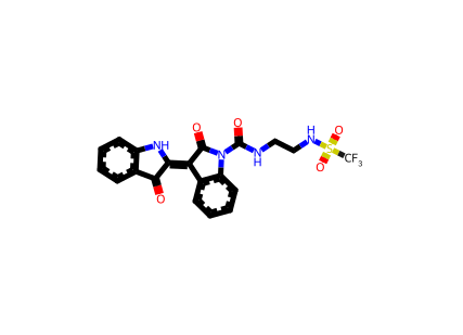 O=C1/C(=C2/C(=O)N(C(=O)NCCNS(=O)(=O)C(F)(F)F)c3ccccc32)Nc2ccccc21